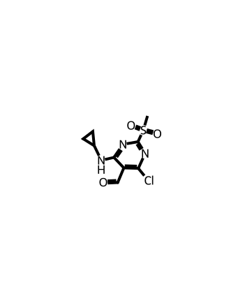 CS(=O)(=O)c1nc(Cl)c(C=O)c(NC2CC2)n1